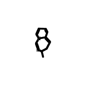 CC1CC=C2C=CC=CN2C=N1